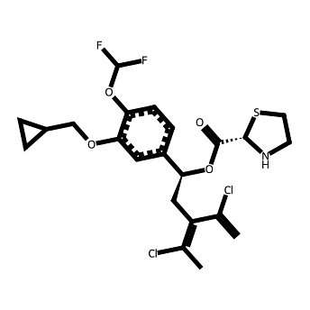 C=C(Cl)/C(C[C@H](OC(=O)[C@H]1NCCS1)c1ccc(OC(F)F)c(OCC2CC2)c1)=C(\C)Cl